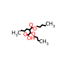 CCCCCOC(=O)C(CCCC)C(OCCCC)C(=O)O